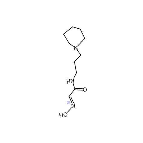 O=C(/C=N/O)NCCCN1CCCCC1